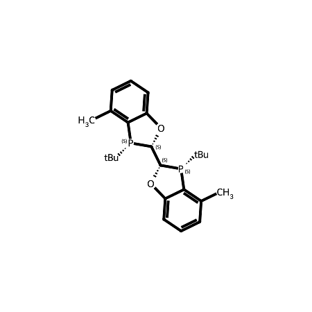 Cc1cccc2c1[P@@](C(C)(C)C)[C@@H]([C@H]1Oc3cccc(C)c3[P@@]1C(C)(C)C)O2